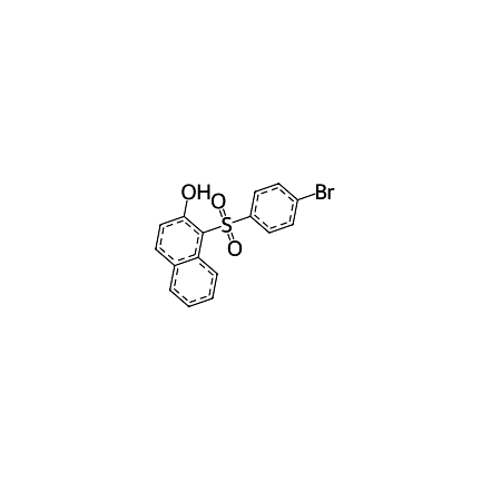 O=S(=O)(c1ccc(Br)cc1)c1c(O)ccc2ccccc12